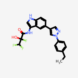 CCc1ccc(-n2cc(-c3ccc4[nH]cc(NC(=O)C(O)(F)C(F)F)c4c3)cn2)cc1